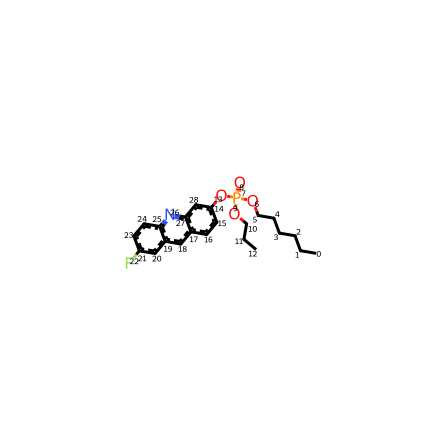 CCCCCCOP(=O)(OCCC)Oc1ccc2cc3cc(F)ccc3nc2c1